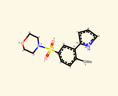 COc1ccc(S(=O)(=O)N2CCOCC2)cc1-c1ccc[nH]1